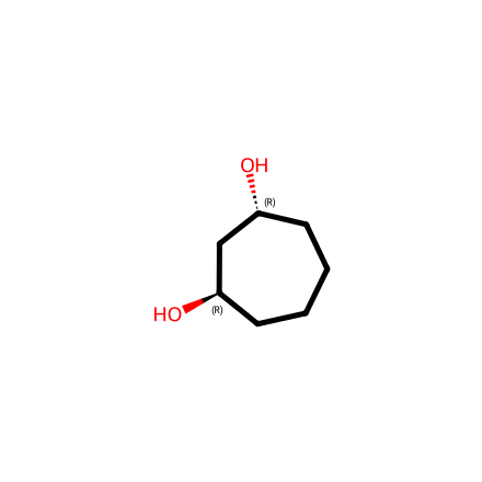 O[C@@H]1CCCC[C@@H](O)C1